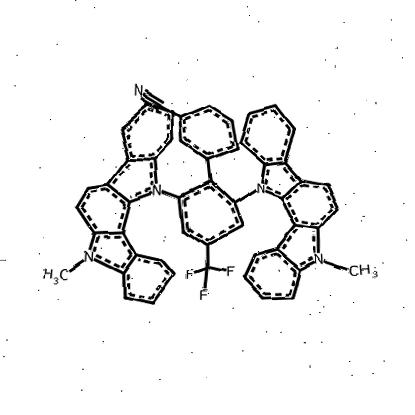 Cn1c2ccccc2c2c1ccc1c3ccccc3n(-c3cc(C(F)(F)F)cc(-n4c5ccccc5c5ccc6c(c7ccccc7n6C)c54)c3-c3cccc(C#N)c3)c12